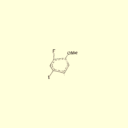 COc1c[c]c(I)cc1F